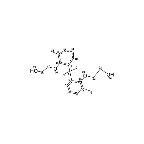 Cc1cccc(C(C)(C)c2cccc(C)c2OCCO)c1OCCO